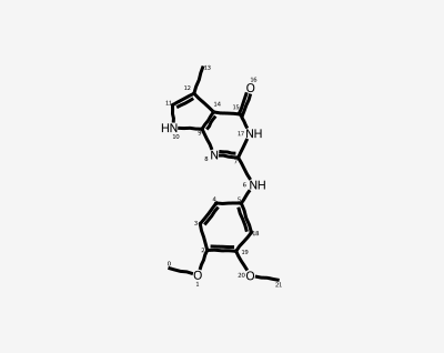 COc1ccc(Nc2nc3[nH]cc(C)c3c(=O)[nH]2)cc1OC